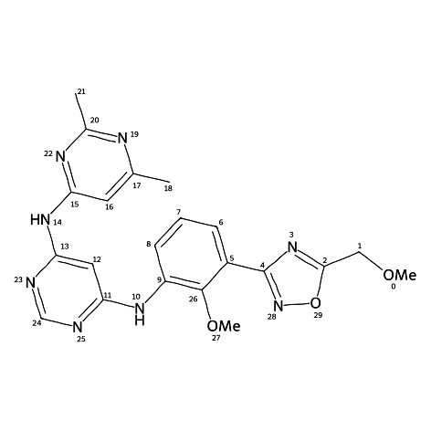 COCc1nc(-c2cccc(Nc3cc(Nc4cc(C)nc(C)n4)ncn3)c2OC)no1